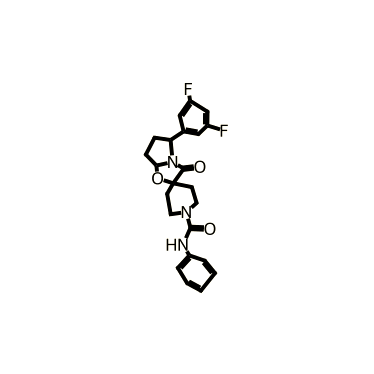 O=C(Nc1ccccc1)N1CCC2(CC1)OC1CCC(c3cc(F)cc(F)c3)N1C2=O